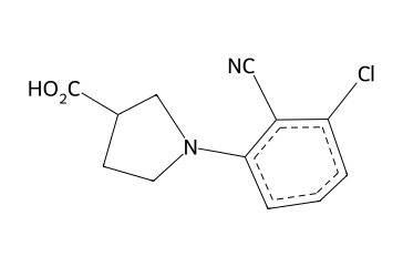 N#Cc1c(Cl)cccc1N1CCC(C(=O)O)C1